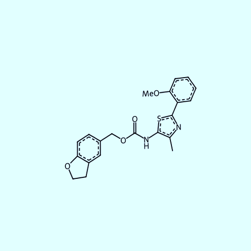 COc1ccccc1-c1nc(C)c(NC(=O)OCc2ccc3c(c2)CCO3)s1